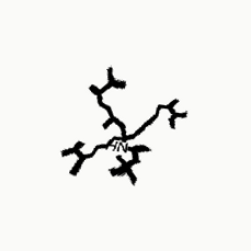 C=C(CC(C)(C)C)NC(CCCCC(=C)C(C)C)(CCCCC(=C)C(C)C)CC(C)CCC(=C)C(C)C